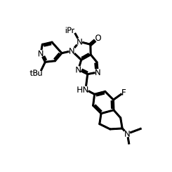 CC(C)n1c(=O)c2cnc(Nc3cc(F)c4c(c3)CCC(N(C)C)C4)nc2n1-c1ccnc(C(C)(C)C)c1